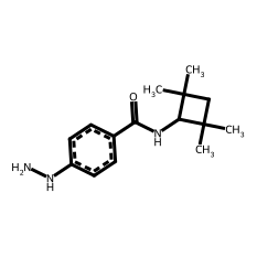 CC1(C)CC(C)(C)C1NC(=O)c1ccc(NN)cc1